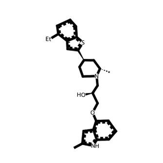 CCc1cccc2sc([C@@H]3CCN(C[C@H](O)COc4cccc5[nH]c(C)cc45)[C@@H](C)C3)cc12